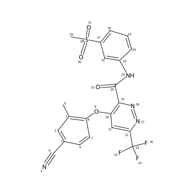 Cc1cc(C#N)ccc1Oc1cc(C(F)(F)F)nnc1C(=O)Nc1cccc(S(C)(=O)=O)c1